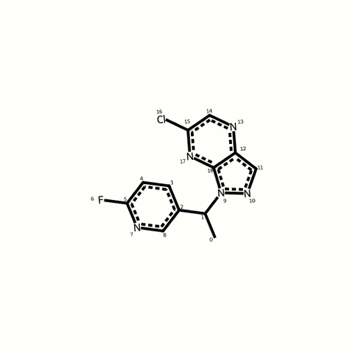 CC(c1ccc(F)nc1)n1ncc2ncc(Cl)nc21